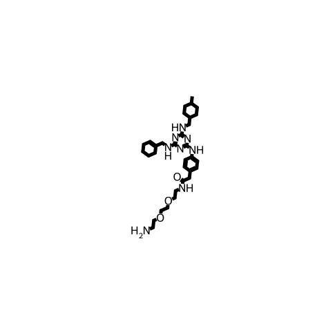 CC1CCC(CNc2nc(NCC3=CCCCC3)nc(Nc3ccc(CC(=O)NCCOCCOCCN)cc3)n2)CC1